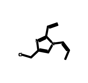 C=Cc1nc(CCl)cn1/C=C\C